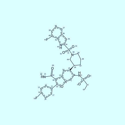 CCS(=O)(=O)Nc1cc2oc(-c3ccc(F)cc3)c(C(=O)NC)c2cc1[C@@H]1CCCN(S(=O)(=O)c2cc3cccc(F)c3[nH]2)C1